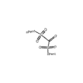 CCCCCS(=O)(=O)C(=O)S(=O)(=O)CCCCC